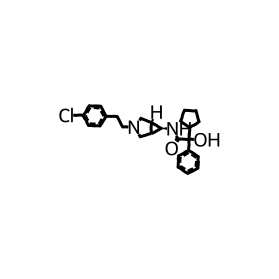 O=C(N[C@H]1C2CN(CCc3ccc(Cl)cc3)C[C@@H]21)C(O)(c1ccccc1)C1CCCC1